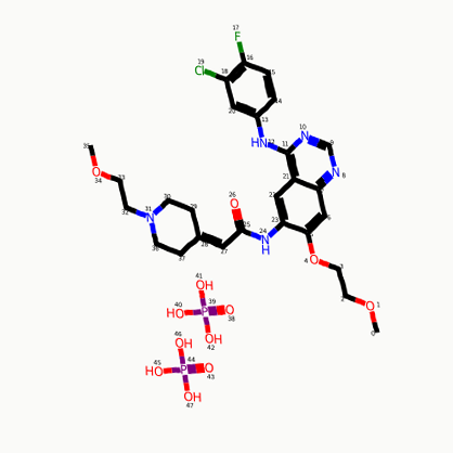 COCCOc1cc2ncnc(Nc3ccc(F)c(Cl)c3)c2cc1NC(=O)C=C1CCN(CCOC)CC1.O=P(O)(O)O.O=P(O)(O)O